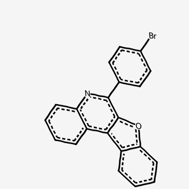 Brc1ccc(-c2nc3ccccc3c3c2oc2ccccc23)cc1